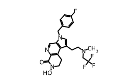 CN(CCc1cn(Cc2ccc(F)cc2)c2cnc3c(c12)CCN(O)C3=O)CC(F)(F)F